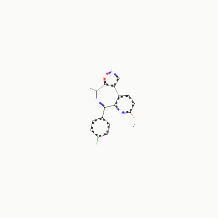 COc1ccc2c(n1)C(c1ccc(Cl)cc1)=NC(C)c1oncc1-2